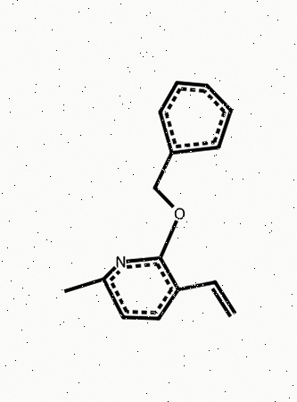 C=Cc1ccc(C)nc1OCc1ccccc1